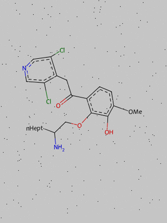 CCCCCCCC(N)COc1c(C(=O)Cc2c(Cl)cncc2Cl)ccc(OC)c1O